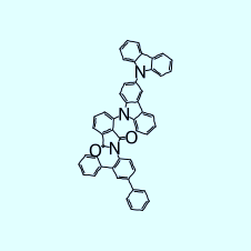 O=C1c2cccc(-n3c4ccccc4c4cc(-n5c6ccccc6c6ccccc65)ccc43)c2C(=O)N1c1ccc(-c2ccccc2)cc1-c1ccccc1